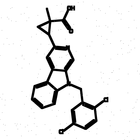 CC1(C(=O)O)CC1c1cc2c3ccccc3n(Cc3cc(Cl)ccc3Cl)c2cn1